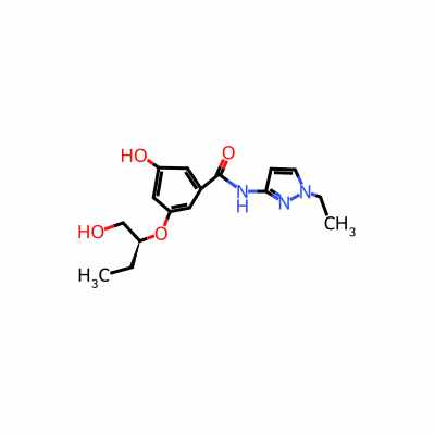 CC[C@@H](CO)Oc1cc(O)cc(C(=O)Nc2ccn(CC)n2)c1